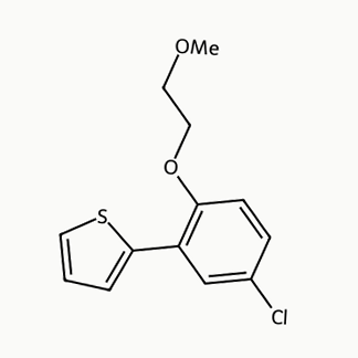 COCCOc1ccc(Cl)cc1-c1cccs1